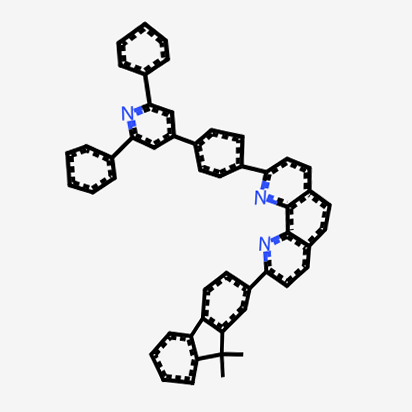 CC1(C)c2ccccc2-c2ccc(-c3ccc4ccc5ccc(-c6ccc(-c7cc(-c8ccccc8)nc(-c8ccccc8)c7)cc6)nc5c4n3)cc21